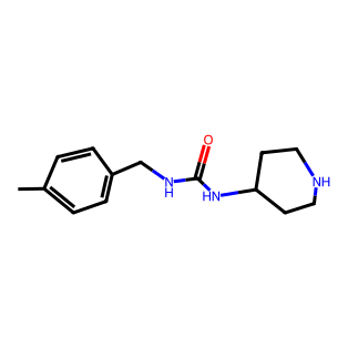 Cc1ccc(CNC(=O)NC2CCNCC2)cc1